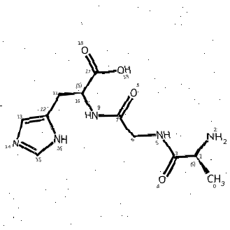 C[C@H](N)C(=O)NCC(=O)N[C@@H](Cc1cnc[nH]1)C(=O)O